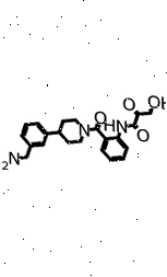 NCc1cccc(C2CCN(C(=O)c3ccccc3NC(=O)C(=O)CO)CC2)c1